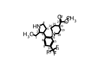 CCC1NCCC1c1ccc(C(F)(F)F)cc1N1CCC(C(=O)OC)CC1